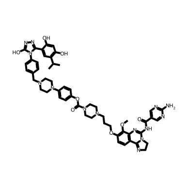 COc1c(OCCCN2CCN(C(=O)Oc3ccc(N4CCN(Cc5ccc(-n6c(O)nnc6-c6cc(C(C)C)c(O)cc6O)cc5)CC4)cc3)CC2)ccc2c1N=C(NC(=O)c1cnc(N)nc1)N1CCN=C21